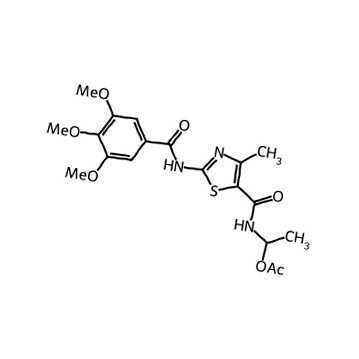 COc1cc(C(=O)Nc2nc(C)c(C(=O)NC(C)OC(C)=O)s2)cc(OC)c1OC